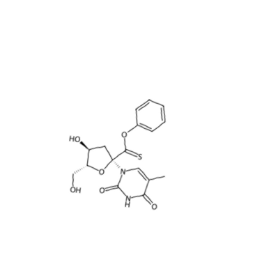 Cc1cn([C@@]2(C(=S)Oc3ccccc3)C[C@H](O)[C@@H](CO)O2)c(=O)[nH]c1=O